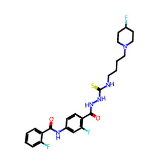 O=C(NNC(=S)NCCCCN1CCC(F)CC1)c1ccc(NC(=O)c2ccccc2F)cc1F